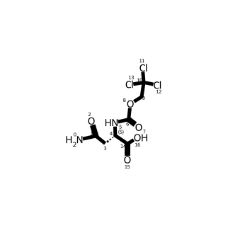 NC(=O)C[C@H](NC(=O)OCC(Cl)(Cl)Cl)C(=O)O